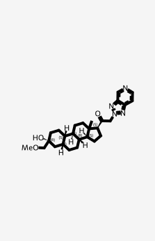 COC[C@@]1(O)CC[C@H]2[C@H](CC[C@@H]3[C@@H]2CCC2(C)[C@@H](C(=O)Cn4nc5ccncc5n4)CC[C@@H]32)C1